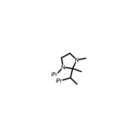 CC(C)C(C)C1(C)N(C)CCN1C(C)C